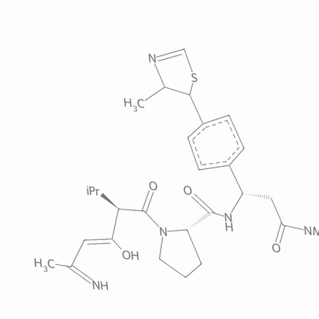 CNC(=O)C[C@H](NC(=O)[C@@H]1CCCN1C(=O)[C@@H](/C(O)=C/C(C)=N)C(C)C)c1ccc(C2SC=NC2C)cc1